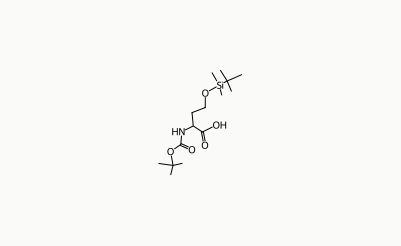 CC(C)(C)OC(=O)NC(CCO[Si](C)(C)C(C)(C)C)C(=O)O